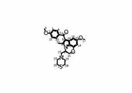 COc1ccc(C(=O)c2c(C)n3c4c(cc(OC)cc24)OCC3CN2CCSCC2)cc1